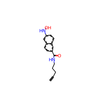 C#CCCCNC(=O)c1ccc2cc(NO)ccc2c1